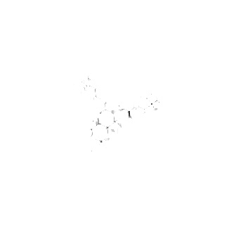 CC1(C)OC[C@H]2O[C@@H](OCC[Si](C)(C)C)[C@H](NC(=O)OCC(Cl)(Cl)Cl)[C@@H](O)[C@@H]2O1